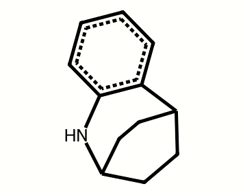 c1ccc2c(c1)NC1CCC2CC1